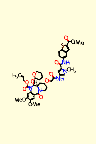 C=CCOC(=O)N1c2cc(OC)c(OC)cc2C(=O)N2CC[C@@H](OCC(=O)Nc3cc(C(=O)Nc4ccc5sc(C(=O)OC)cc5c4)n(C)c3)C[C@H]2C1OC1CCCCO1